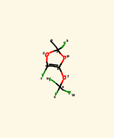 CC1(F)OC(F)=C(OC(F)(F)F)O1